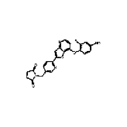 O=Nc1ccc(Oc2ccnc3cc(-c4ccc(CN5C(=O)CCC5=O)cn4)sc23)c(F)c1